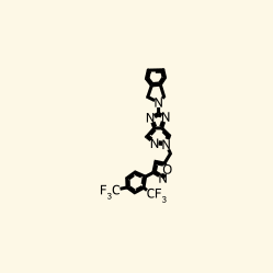 FC(F)(F)c1ccc(-c2cc(Cn3cc4nc(N5Cc6ccccc6C5)nc-4cn3)on2)c(C(F)(F)F)c1